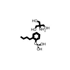 CCCCc1ccccc1OP(O)O.NC(CO)(CO)CO